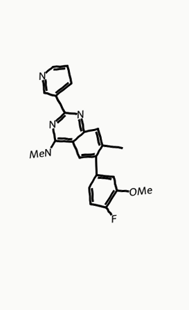 CNc1nc(-c2cccnc2)nc2cc(C)c(-c3ccc(F)c(OC)c3)cc12